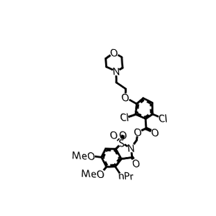 CCCc1c(OC)c(OC)cc2c1C(=O)N(COC(=O)c1c(Cl)ccc(OCCN3CCOCC3)c1Cl)S2(=O)=O